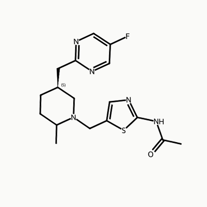 CC(=O)Nc1ncc(CN2C[C@H](Cc3ncc(F)cn3)CCC2C)s1